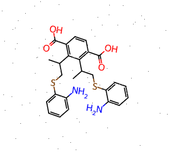 CC(CSc1ccccc1N)c1c(C(=O)O)ccc(C(=O)O)c1C(C)CSc1ccccc1N